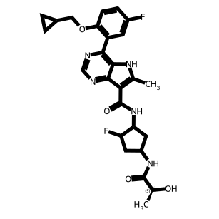 Cc1[nH]c2c(-c3cc(F)ccc3OCC3CC3)ncnc2c1C(=O)NC1CC(NC(=O)[C@H](C)O)CC1F